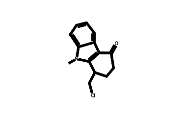 Cn1c2c(c3ccccc31)C(=O)CCC2CCl